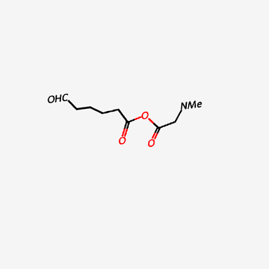 CNCC(=O)OC(=O)CCCCC=O